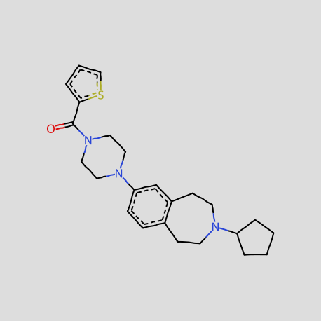 O=C(c1cccs1)N1CCN(c2ccc3c(c2)CCN(C2CCCC2)CC3)CC1